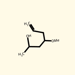 C=CCC(CC(C)O)OC